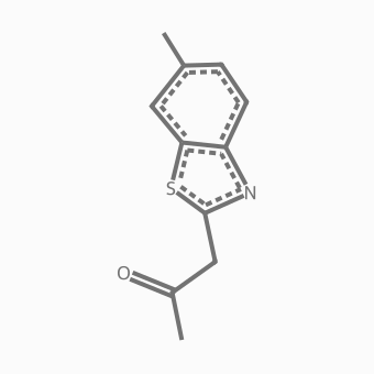 CC(=O)Cc1nc2ccc(C)cc2s1